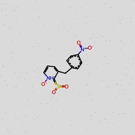 O=[N+]([O-])c1ccc(CC2=CC=C[NH+]([O-])C2=S(=O)=O)cc1